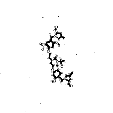 C=C1C[C@@H](C=O)N(C(=O)c2cc([N+](=O)[O-])c(OCCN(CCOc3cc(OC)c(C(=O)N4CC(=C)C[C@H]4C=O)cc3[N+](=O)[O-])C(=O)OC(C)(C)C)cc2OC)C1